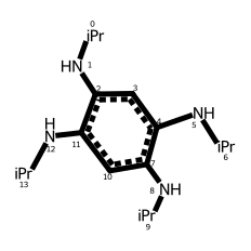 CC(C)Nc1cc(NC(C)C)c(NC(C)C)cc1NC(C)C